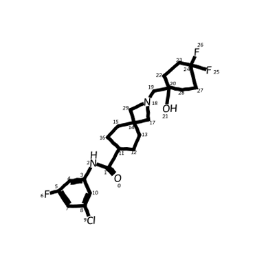 O=C(Nc1cc(F)cc(Cl)c1)C1CCC2(CC1)CN(CC1(O)CCC(F)(F)CC1)C2